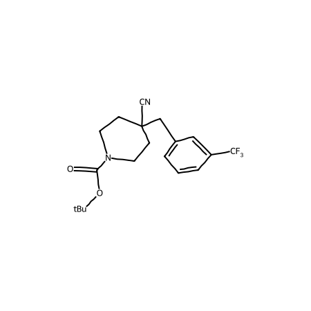 CC(C)(C)OC(=O)N1CCC(C#N)(Cc2cccc(C(F)(F)F)c2)CC1